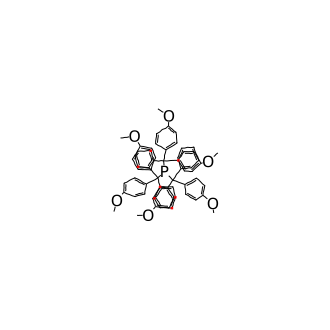 COc1ccc(C(c2ccccc2)(c2ccc(OC)cc2)P(C(c2ccccc2)(c2ccc(OC)cc2)c2ccc(OC)cc2)C(c2ccccc2)(c2ccc(OC)cc2)c2ccc(OC)cc2)cc1